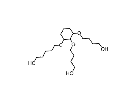 OCCCCCOC1CCCC(OCCCCO)C1OCCCCO